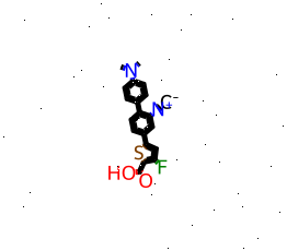 [C-]#[N+]c1cc(-c2cc(F)c(C(=O)O)s2)ccc1-c1ccc(N(C)C)cc1